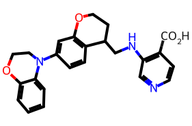 O=C(O)c1ccncc1NCC1CCOc2cc(N3CCOc4ccccc43)ccc21